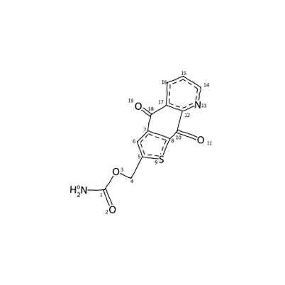 NC(=O)OCc1cc2c(s1)C(=O)c1ncccc1C2=O